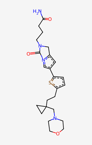 NC(=O)CCCN1Cc2cc(-c3ccc(CCC4(CN5CCOCC5)CC4)s3)cn2C1=O